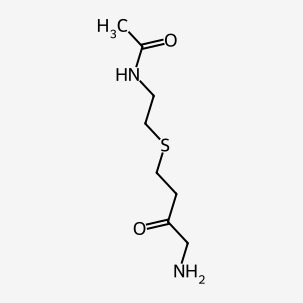 CC(=O)NCCSCCC(=O)CN